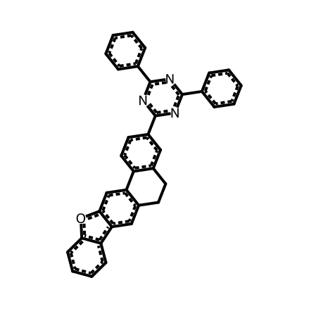 c1ccc(-c2nc(-c3ccccc3)nc(-c3ccc4c(c3)CCc3cc5c(cc3-4)oc3ccccc35)n2)cc1